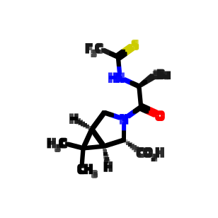 CC(C)(C)[C@H](NC(=S)C(F)(F)F)C(=O)N1C[C@H]2[C@@H]([C@H]1C(=O)O)C2(C)C